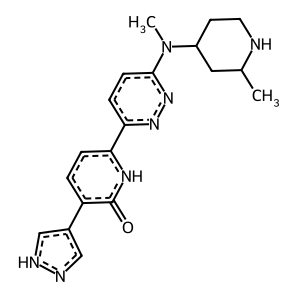 CC1CC(N(C)c2ccc(-c3ccc(-c4cn[nH]c4)c(=O)[nH]3)nn2)CCN1